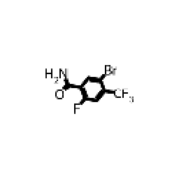 NC(=O)c1cc(Br)c(C(F)(F)F)cc1F